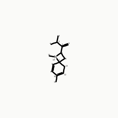 C=C(C(C)C)C1CC2(C=CC(C)=CC2)N1C